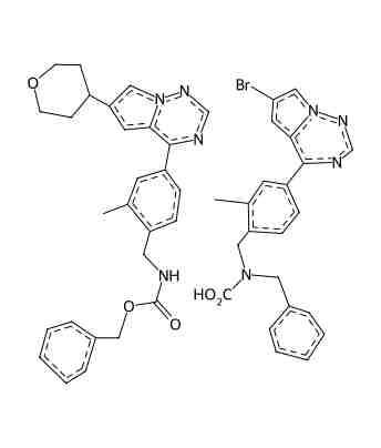 Cc1cc(-c2ncnn3cc(Br)cc23)ccc1CN(Cc1ccccc1)C(=O)O.Cc1cc(-c2ncnn3cc(C4CCOCC4)cc23)ccc1CNC(=O)OCc1ccccc1